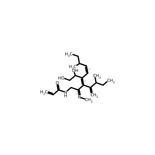 C=CC(=O)NCC(=N/C)/C(C(=C)C(C)CC)=C(/C=C\C(C)CC)C(O)CO